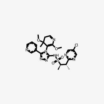 COC1=C(n2c(NS(=O)(=O)[C@H](C)[C@@H](C)c3ncc(Cl)cn3)nnc2-c2cccnc2)C(C)(OC)CC=N1